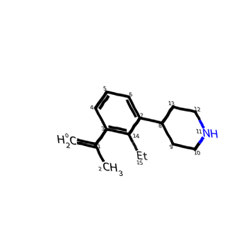 C=C(C)c1cccc(C2CCNCC2)c1CC